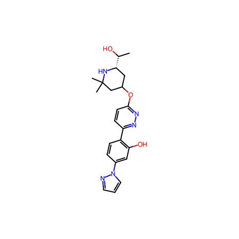 CC(O)[C@@H]1CC(Oc2ccc(-c3ccc(-n4cccn4)cc3O)nn2)CC(C)(C)N1